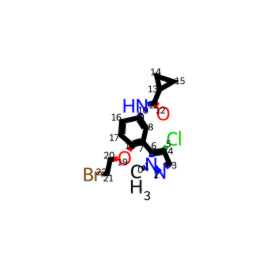 Cn1ncc(Cl)c1-c1cc(NC(=O)C2CC2)ccc1OCCBr